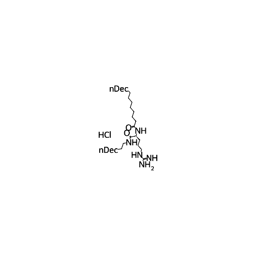 CCCCCCCCCCCCCCCCCC(=O)N[C@@H](CCCNC(=N)N)C(=O)NCCCCCCCCCCCC.Cl